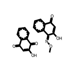 CON=C1C(O)=CC(=O)c2ccccc21.O=C1C=C(O)C(=O)c2ccccc21